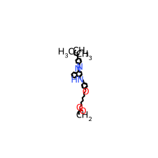 C=CC(=O)OCCCCCCOc1ccc(CNc2ccc(/N=N/c3ccc(C(C)CC(C)C)cc3)c3ccccc23)cc1